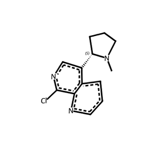 CN1CCC[C@H]1c1cnc(Cl)c2ncccc12